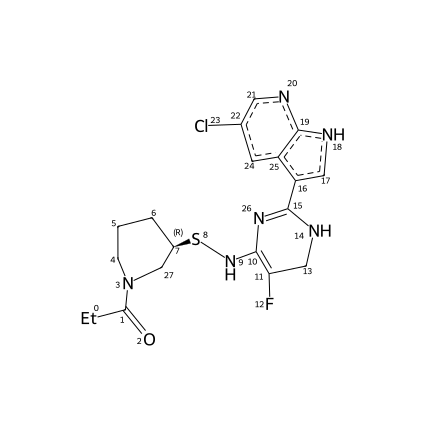 CCC(=O)N1CCC[C@@H](SNC2=C(F)CNC(c3c[nH]c4ncc(Cl)cc34)=N2)C1